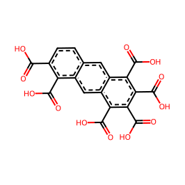 O=C(O)c1ccc2cc3c(C(=O)O)c(C(=O)O)c(C(=O)O)c(C(=O)O)c3cc2c1C(=O)O